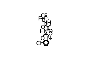 CC(C(=O)NCC(F)(F)C(F)(F)F)C(=O)N[C@H]1COc2c(Cl)cccc2N(C)C1=O